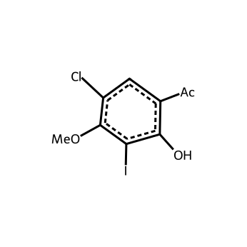 COc1c(Cl)cc(C(C)=O)c(O)c1I